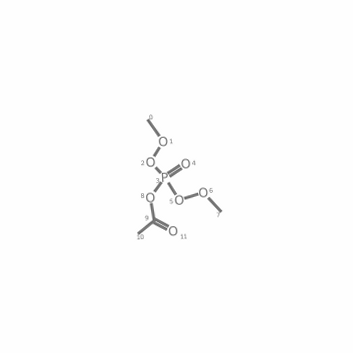 COOP(=O)(OOC)OC(C)=O